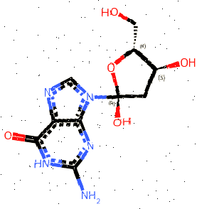 Nc1nc2c(ncn2[C@@]2(O)C[C@H](O)[C@@H](CO)O2)c(=O)[nH]1